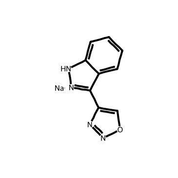 [Na].c1ccc2c(-c3conn3)n[nH]c2c1